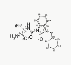 CC(C)[C@H](NC(=O)n1c(=O)n(CC2CCCCC2)c2ccccc21)C(N)=O